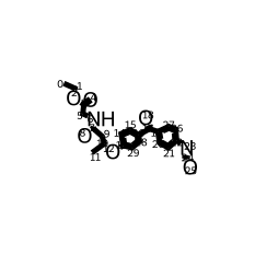 CCOC(=O)CNC(=O)CC(C)Oc1ccc(C(=O)c2ccc(N=C=O)cc2)cc1